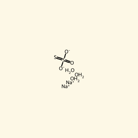 O.O.O.O=S([O-])([O-])=S.[Na+].[Na+]